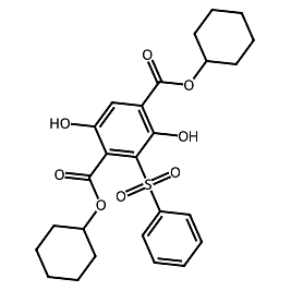 O=C(OC1CCCCC1)c1cc(O)c(C(=O)OC2CCCCC2)c(S(=O)(=O)c2ccccc2)c1O